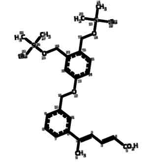 CC(=CC=CC(=O)O)c1cccc(COc2ccc(CO[Si](C)(C)C(C)(C)C)c(CO[Si](C)(C)C(C)(C)C)c2)c1